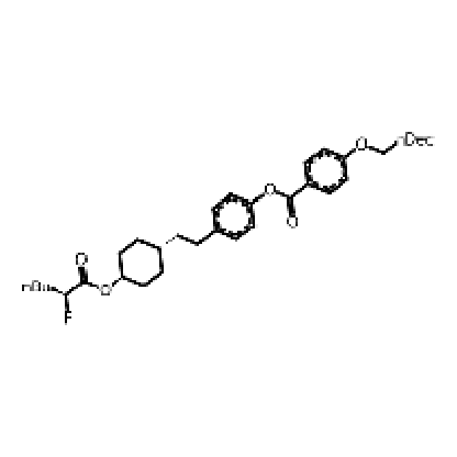 CCCCCCCCCCCOc1ccc(C(=O)Oc2ccc(CC[C@H]3CC[C@H](OC(=O)[C@@H](F)CCCC)CC3)cc2)cc1